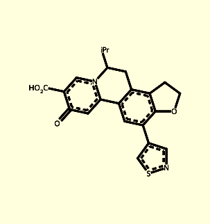 CC(C)C1Cc2c(cc(-c3cnsc3)c3c2CCO3)-c2cc(=O)c(C(=O)O)cn21